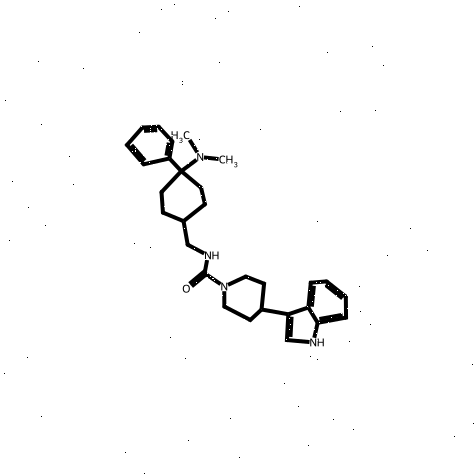 CN(C)C1(c2ccccc2)CCC(CNC(=O)N2CCC(c3c[nH]c4ccccc34)CC2)CC1